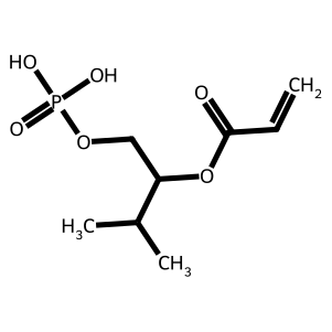 C=CC(=O)OC(COP(=O)(O)O)C(C)C